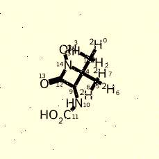 [2H]C([2H])([2H])C1(C([2H])([2H])[2H])C(NC(=O)O)C(=O)N1O